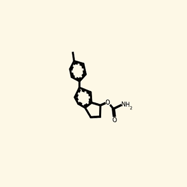 Cc1ccc(-c2ccc3c(c2)C(OC(N)=O)CC3)cc1